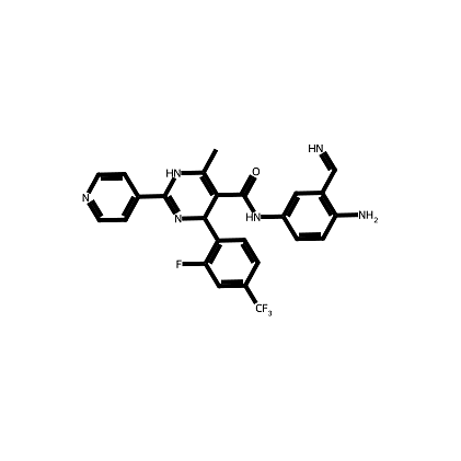 CC1=C(C(=O)Nc2ccc(N)c(C=N)c2)C(c2ccc(C(F)(F)F)cc2F)N=C(c2ccncc2)N1